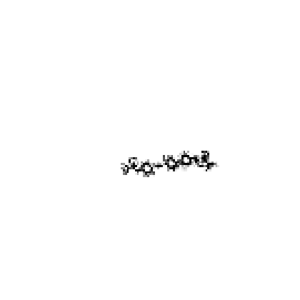 C=C(C)C(=O)Cc1ccc(C#Cc2ccc(-c3ccc(COC(=O)C(=C)C)cc3)cc2)cc1